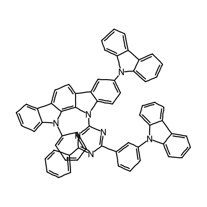 c1ccc(-c2nc(-c3cccc(-n4c5ccccc5c5ccccc54)c3)nc(-n3c4ccc(-n5c6ccccc6c6ccccc65)cc4c4ccc5c6ccccc6n(-c6ccccc6)c5c43)n2)cc1